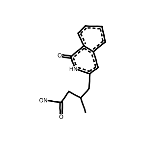 CC(CC(=O)N=O)Cc1cc2ccccc2c(=O)[nH]1